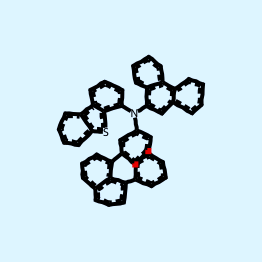 c1ccc(-c2cccc3cccc(-c4cccc(N(c5cc6ccccc6c6ccccc56)c5cccc6c5sc5ccccc56)c4)c23)cc1